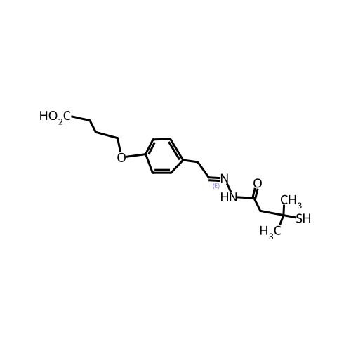 CC(C)(S)CC(=O)N/N=C/Cc1ccc(OCCCC(=O)O)cc1